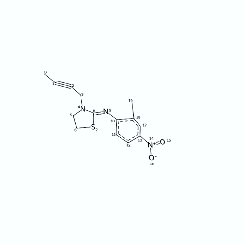 CC#CCN1CCS/C1=N\c1ccc([N+](=O)[O-])cc1C